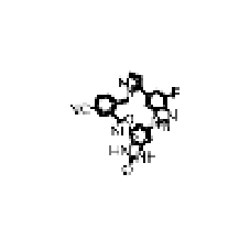 N#Cc1ccc(Cn2nccc2-c2cc(F)c3nnn(-c4ccc5[nH]c(=O)[nH]c5c4)c3c2)c(C(N)=O)c1